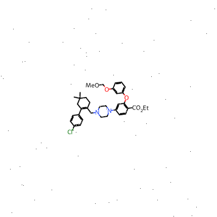 CCOC(=O)c1ccc(N2CCN(CC3=C(c4ccc(Cl)cc4)CC(C)(C)CC3)CC2)cc1Oc1cccc(OCOC)c1